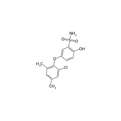 Cc1cc(C)c(Oc2ccc(O)c(S(N)(=O)=O)c2)c(Cl)c1